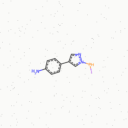 Nc1ccc(-c2cnn(PI)c2)cc1